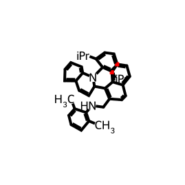 Cc1cccc(C)c1NCc1ccc2ccccc2c1C1C=Cc2ccccc2N1c1c(C(C)C)cccc1C(C)C